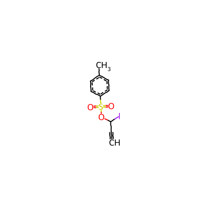 C#CC(I)OS(=O)(=O)c1ccc(C)cc1